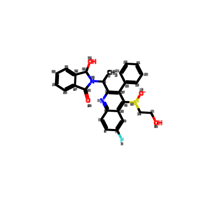 CC(c1nc2ccc(F)cc2c([S+]([O-])CCO)c1-c1ccccc1)N1C(=O)c2ccccc2C1O